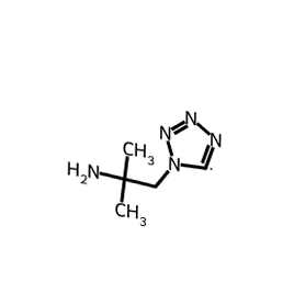 CC(C)(N)Cn1[c]nnn1